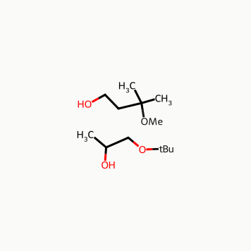 CC(O)COC(C)(C)C.COC(C)(C)CCO